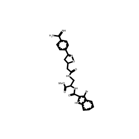 COC(=O)C(CNC(=O)CC1CC(c2ccc(C(=N)N)cc2)=NO1)NC(=O)c1[nH]c2ccccc2c1Br